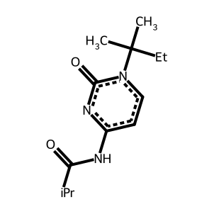 CCC(C)(C)n1ccc(NC(=O)C(C)C)nc1=O